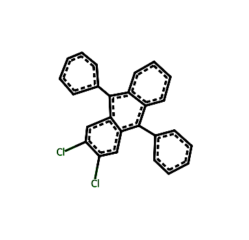 Clc1cc2c(-c3ccccc3)c3ccccc3c(-c3ccccc3)c2cc1Cl